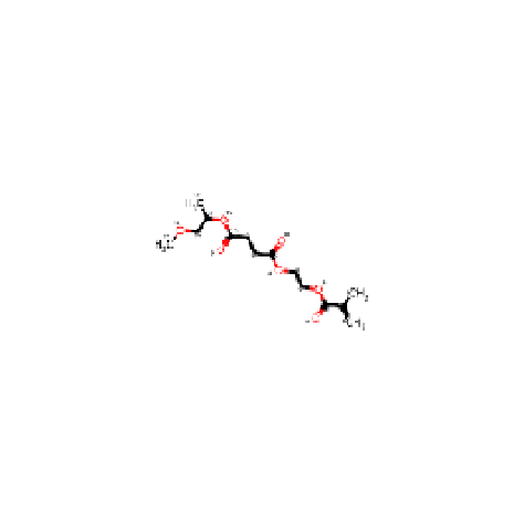 C=C(C)C(=O)OCCOC(=O)CCC(=O)OC(C)COC